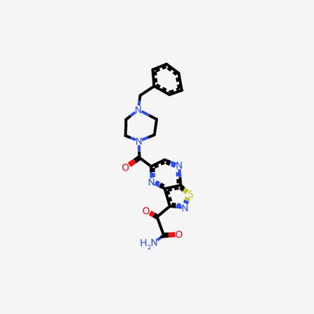 NC(=O)C(=O)c1nsc2ncc(C(=O)N3CCN(Cc4ccccc4)CC3)nc12